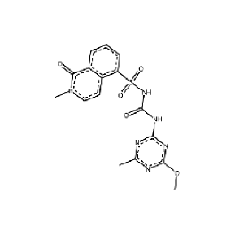 COc1nc(C)nc(NC(=O)NS(=O)(=O)c2cccc3c(=O)n(C)ccc23)n1